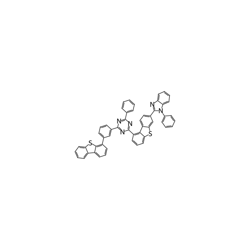 c1ccc(-c2nc(-c3cccc(-c4cccc5c4sc4ccccc45)c3)nc(-c3cccc4sc5cc(-c6nc7ccccc7n6-c6ccccc6)ccc5c34)n2)cc1